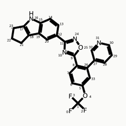 FC(F)(F)Oc1ccc(-c2nc(-c3ccc4[nH]c5c(c4c3)CC[CH]5)no2)c(-c2cccnc2)c1